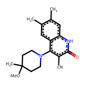 COC1(C)CCN(c2c(C#N)c(=O)[nH]c3cc(C)c(C)cc23)CC1